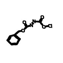 O=C(N=NC(=O)OCc1ccccc1)OCl